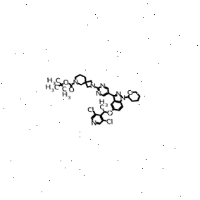 C[C@@H](Oc1ccc2c(c1)c(-c1cnc(N3CC4(CCCN(C(=O)OC(C)(C)C)C4)C3)nc1)nn2C1CCCCO1)c1c(Cl)cncc1Cl